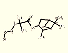 CC1C(NC(=O)C(C)(C)SOOO)CC2CC1C2(C)C